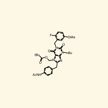 CCCCn1c(=O)n(Cc2cc(OC)ccc2F)c(=O)c2c1nc(Cc1ccc(NC(C)=O)cc1)n2COC(=O)C(C)(C)C